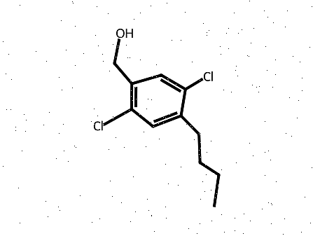 CCCCc1cc(Cl)c(CO)cc1Cl